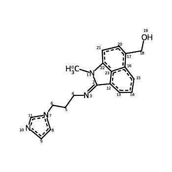 CN1C(=NCCCn2ccnc2)c2cccc3c(CO)ccc1c23